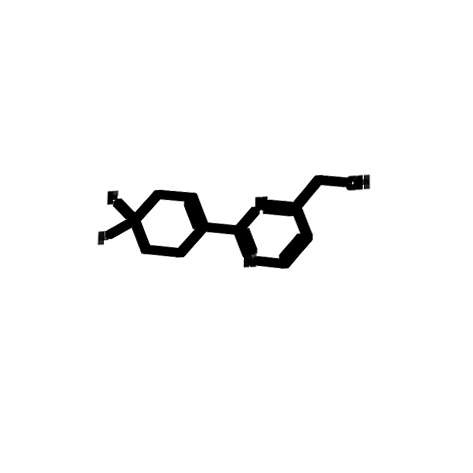 OCc1ccnc(C2=CCC(F)(F)CC2)n1